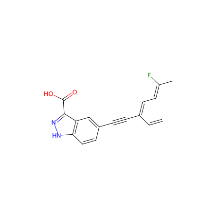 C=CC(C#Cc1ccc2[nH]nc(C(=O)O)c2c1)=CC=C(C)F